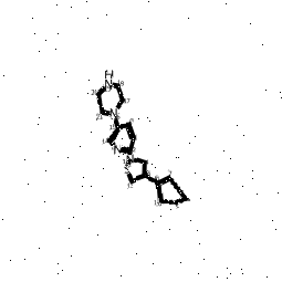 c1cc(N2CC(C3CCCC3)CS2)ncc1N1CCNCC1